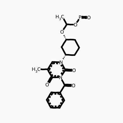 Cc1cn([C@H]2CCC[C@@H](OC(C)OP=O)C2)c(=O)n(C(=O)c2ccccc2)c1=O